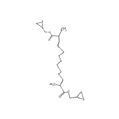 CC(CSCCSCCSCC(C)C(=O)OCC1CS1)C(=O)OCC1CS1